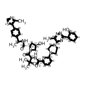 Cc1ncsc1-c1ccc([C@H](C)NC(=O)[C@@H]2C[C@@H](O)CN2C(=O)[C@@H](NC(=O)c2cccc(N3CCN(c4nc(-c5ccccc5O)nnc4N)CC3)n2)C(C)(C)C)cc1